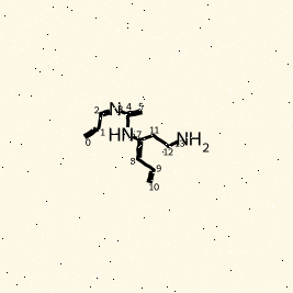 C=C/C=N\C(=C)N/C(=C/C=C)CCN